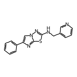 c1ccc(-c2cn3nc(NCc4cccnc4)sc3n2)cc1